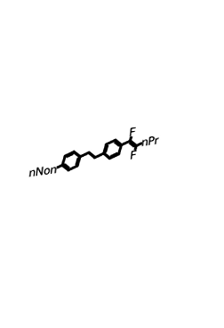 CCCCCCCCCc1ccc(CCc2ccc(C(F)=C(F)CCC)cc2)cc1